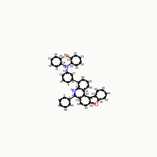 c1ccc(-c2nc3c(-c4cccc(N5c6ccccc6Sc6ccccc65)c4)cccc3c3c2ccc2oc4ccccc4c23)cc1